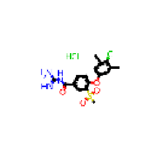 Cc1cc(Oc2ccc(C(=O)NC(=N)N)cc2S(C)(=O)=O)cc(C)c1Cl.Cl